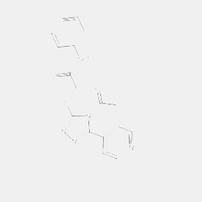 CC(=O)n1c(SCC(=O)Nc2ccccc2)nnc1-c1ccncc1